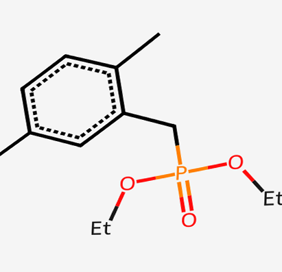 CCOP(=O)(Cc1cc(C)ccc1C)OCC